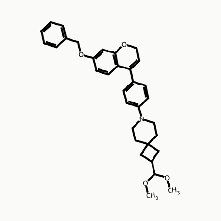 COC(OC)C1CC2(CCN(c3ccc(C4=CCOc5cc(OCc6ccccc6)ccc54)cc3)CC2)C1